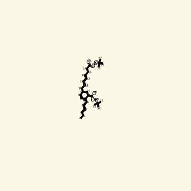 CCC=CCCC1C=CC(CCCCCCCC(=O)OOC(C)(C)C)CC1C(=O)OOC(C)(C)C